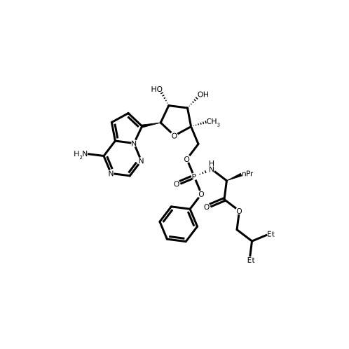 CCC[C@H](N[P@](=O)(OC[C@@]1(C)O[C@@H](c2ccc3c(N)ncnn23)[C@H](O)[C@@H]1O)Oc1ccccc1)C(=O)OCC(CC)CC